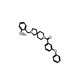 CC(C)COc1ccccc1CN1CCC2(CCN(C(=O)c3cccc(Oc4ccccc4)c3)CC2)C1